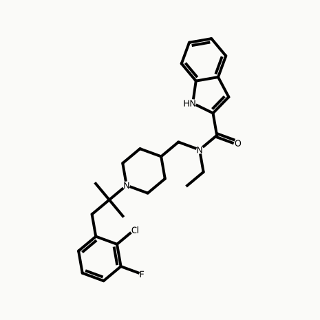 CCN(CC1CCN(C(C)(C)Cc2cccc(F)c2Cl)CC1)C(=O)c1cc2ccccc2[nH]1